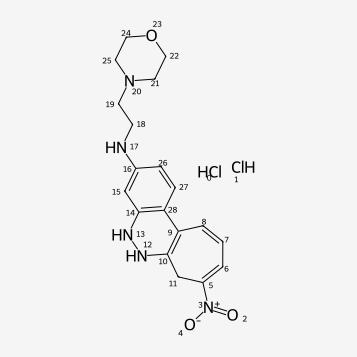 Cl.Cl.O=[N+]([O-])C1=CC=CC2=C(C1)NNc1cc(NCCN3CCOCC3)ccc12